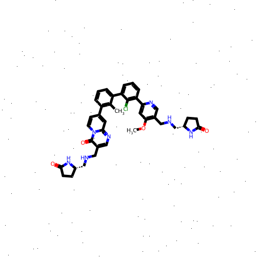 COc1cc(-c2cccc(-c3cccc(-c4ccn5c(=O)c(CNC[C@@H]6CCC(=O)N6)cnc5c4)c3C)c2Cl)ncc1CNC[C@@H]1CCC(=O)N1